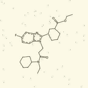 CCOC(=O)C1CCCC(c2nc3cc(F)ccc3n2CCC(=O)N(CC)C2CCCCC2)C1